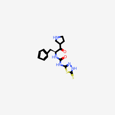 O=C(Nc1n[nH]c(=S)s1)N[C@@H](Cc1ccccc1)C(=O)C1CCNC1